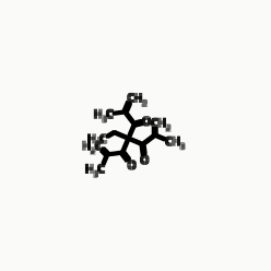 [CH2]CC(C(=O)C(=C)C)(C(=O)C(=C)C)C(=O)C(=C)C